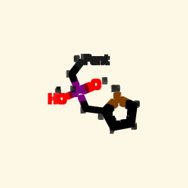 CCCC(C)CP(=O)(O)Cc1cccs1